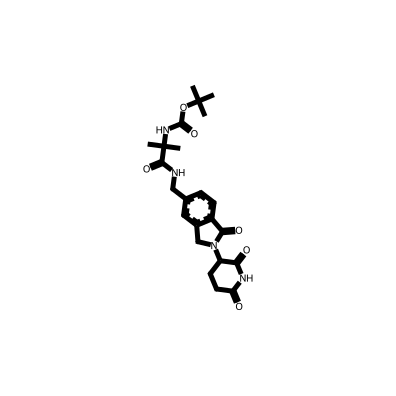 CC(C)(C)OC(=O)NC(C)(C)C(=O)NCc1ccc2c(c1)CN(C1CCC(=O)NC1=O)C2=O